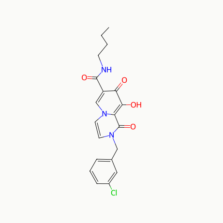 CCCCNC(=O)c1cn2ccn(Cc3cccc(Cl)c3)c(=O)c2c(O)c1=O